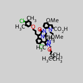 COCCn1c(C(=O)O)cc2c(OC)ccc(N3C[C@@H](C)n4c(c(CCCOc5cc(C)c(Cl)c(C)c5)c5ccc(Cl)c(-c6c(C)nn(COCC[Si](C)(C)C)c6C)c54)C3=O)c21